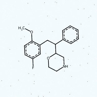 COc1ccc(F)cc1CC(c1ccccc1)C1CNCCO1